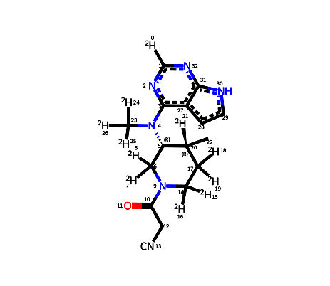 [2H]c1nc(N([C@H]2C([2H])([2H])N(C(=O)C[N+]#[C-])C([2H])([2H])C([2H])([2H])[C@@]2([2H])C)C([2H])([2H])[2H])c2cc[nH]c2n1